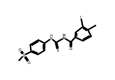 Cc1ccc(C(=O)NC(=S)Nc2ccc(S(C)(=O)=O)cc2)cc1I